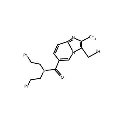 [3H]Cc1c(C)nc2ccc(C(=O)N(CCC(C)C)CCC(C)C)cn12